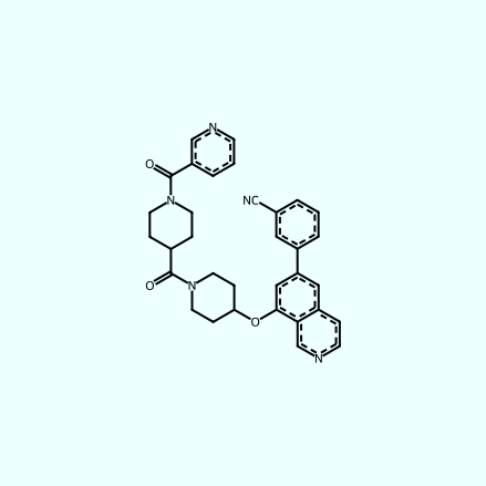 N#Cc1cccc(-c2cc(OC3CCN(C(=O)C4CCN(C(=O)c5cccnc5)CC4)CC3)c3cnccc3c2)c1